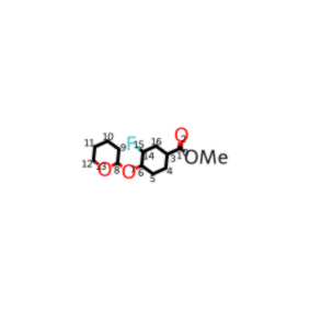 COC(=O)C1CCC(OC2CCCCO2)C(F)C1